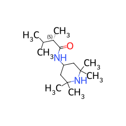 CC(C)[C@H](C)C(=O)NC1CC(C)(C)NC(C)(C)C1